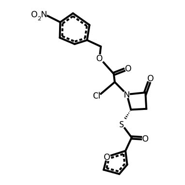 O=C(S[C@H]1CC(=O)N1C(Cl)C(=O)OCc1ccc([N+](=O)[O-])cc1)c1ccco1